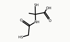 CC(S)(NC(=O)CS)C(=O)O